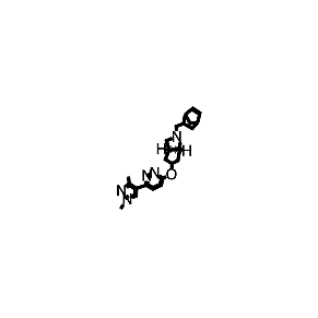 Cc1nn(C)cc1-c1ccc(OC2C[C@@H]3CN(CC4CC5C=CC4C5)C[C@@H]3C2)nn1